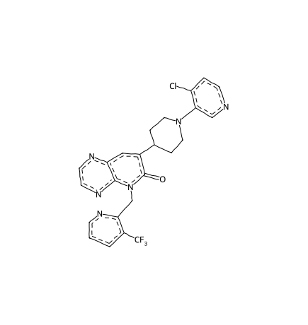 O=c1c(C2CCN(c3cnccc3Cl)CC2)cc2nccnc2n1Cc1ncccc1C(F)(F)F